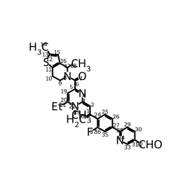 C=C(/C=C1/N=C(C(=O)N2CCc3sc(C)cc3C2C)C=C(CC)N1C)c1ccc(-c2ccc(C=O)cn2)cc1F